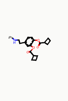 CC(C)NCCc1ccc(OC(=O)C2CCC2)c(OC(=O)C2CCC2)c1